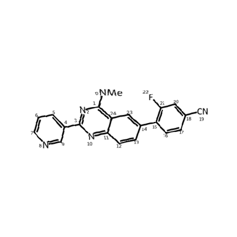 CNc1nc(-c2cccnc2)nc2ccc(-c3ccc(C#N)cc3F)cc12